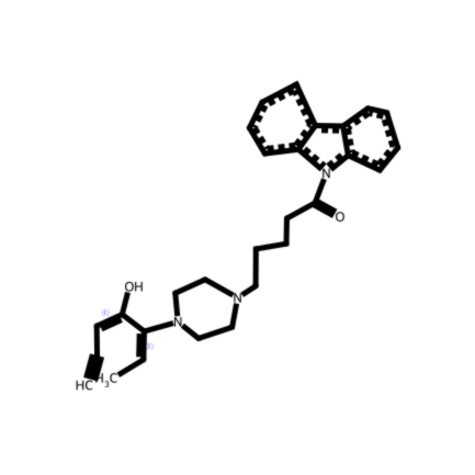 C#C/C=C(O)\C(=C/C)N1CCN(CCCCC(=O)n2c3ccccc3c3ccccc32)CC1